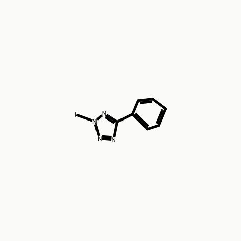 In1nnc(-c2ccccc2)n1